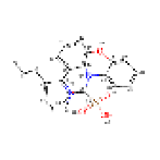 CCCc1cccnc1-c1cccc2c1N(C(CC)S(=O)(=O)O)c1ccccc1O2